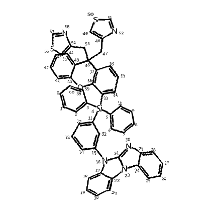 c1ccc([Si](c2ccccc2)(c2cccc(-n3c4ccccc4n4c5ccccc5nc34)c2)c2cccc3c2Oc2ccccc2C3(Cc2cscn2)Cc2cscn2)cc1